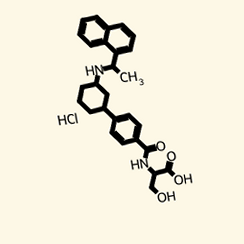 CC(NC1CCCC(c2ccc(C(=O)NC(CO)C(=O)O)cc2)C1)c1cccc2ccccc12.Cl